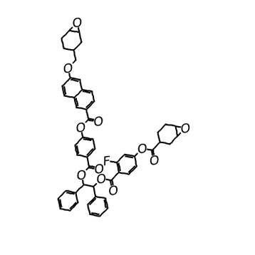 O=C(Oc1ccc(C(=O)OC(c2ccccc2)C(OC(=O)c2ccc(OC(=O)C3CCC4OC4C3)cc2F)c2ccccc2)cc1)c1ccc2cc(OCC3CCC4OC4C3)ccc2c1